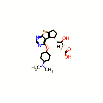 C[C@H](O)C[C@H]1CCc2sc3ncnc(OC4CCC(N(C)C)CC4)c3c21.O=CO